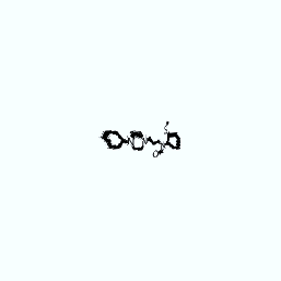 CSc1ccccc1N(C=O)CCCN1CCN(C2CCCCC2)CC1